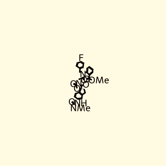 CNC(=O)Nc1ccc2c(c1)CC[C@@]21OC(=O)N(CC(=O)N(Cc2ccc(F)cc2)c2ccccc2C(=O)OC)C1=O